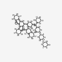 c1ccc(-c2ccc(-c3ccc(N(c4ccccc4)c4ccc(-c5cc6c7ccccc7oc6c6c7ccccc7n(-c7ccc8ccccc8c7)c56)cc4)cc3)cc2)cc1